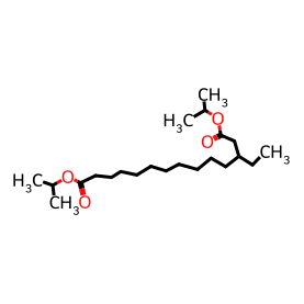 CCC(CCCCCCCCCCC(=O)OC(C)C)CC(=O)OC(C)C